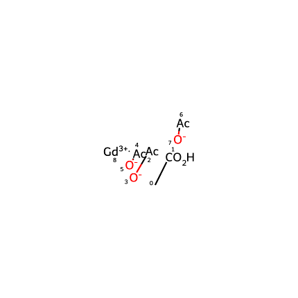 CC(=O)O.CC(=O)[O-].CC(=O)[O-].CC(=O)[O-].[Gd+3]